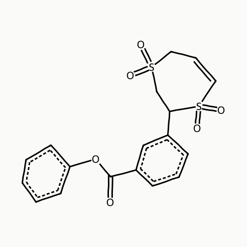 O=C(Oc1ccccc1)c1cccc(C2CS(=O)(=O)CC=CS2(=O)=O)c1